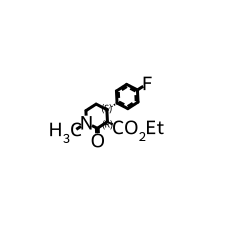 CCOC(=O)[C@H]1C(=O)N(C)CC[C@@H]1c1ccc(F)cc1